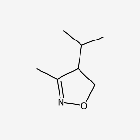 CC1=NOCC1C(C)C